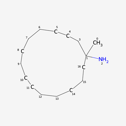 CC1(N)CCCCCCCCCCCCCC1